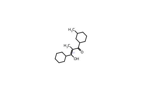 C/C(C(=O)C1CCCC(C)C1)=C(/O)C1CCCCC1